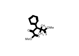 COC(=S)C(=O)C(c1ccccc1)C(C)(C)C(=S)OC